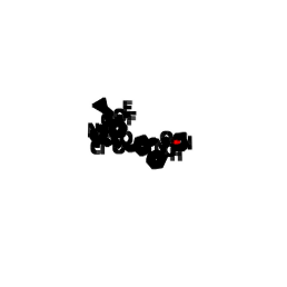 O=C(Cc1ccc(CN(C(=O)O[C@H]2CN3CCC2CC3)c2ccccc2)cc1)O[C@@H](Cc1c(Cl)cncc1Cl)c1ccc(OC(F)F)c(OCC2CC2)c1